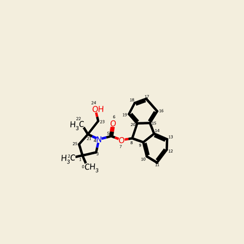 CC1(C)CN(C(=O)OC2c3ccccc3-c3ccccc32)C(C)(CO)C1